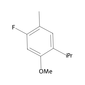 COc1cc(F)c(C)cc1C(C)C